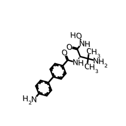 CC(C)(N)[C@H](NC(=O)c1ccc(-c2ccc(N)cc2)cc1)C(=O)NO